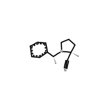 C[C@H](c1ccccc1)N1CCC[C@@]1(C)C#N